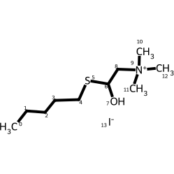 CCCCCSC(O)C[N+](C)(C)C.[I-]